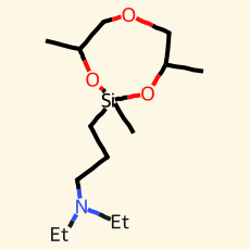 CCN(CC)CCC[Si]1(C)OC(C)COCC(C)O1